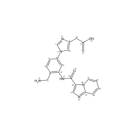 NCc1ccc(-n2cnc(CC(=O)O)c2)cc1NC(=O)c1cnc2ccccn12